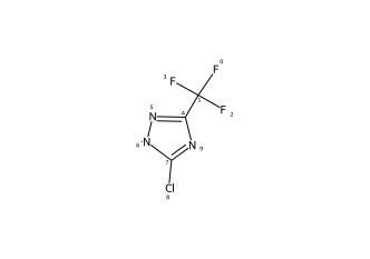 FC(F)(F)C1=N[N]C(Cl)=N1